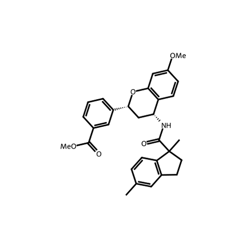 COC(=O)c1cccc([C@H]2C[C@@H](NC(=O)C3(C)CCc4cc(C)ccc43)c3ccc(OC)cc3O2)c1